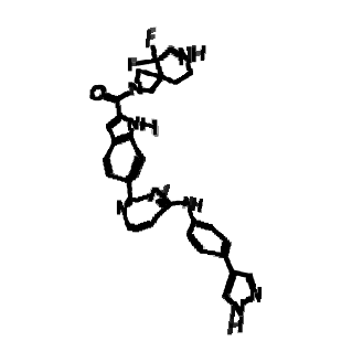 O=C(c1cc2ccc(-c3nccc(Nc4ccc(-c5cn[nH]c5)cc4)n3)cc2[nH]1)N1CC2(CCNCC2(F)F)C1